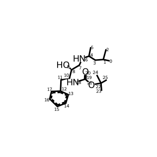 CC(C)CC(C)NC[C@H](O)[C@H](Cc1ccccc1)NC(=O)OC(C)(C)C